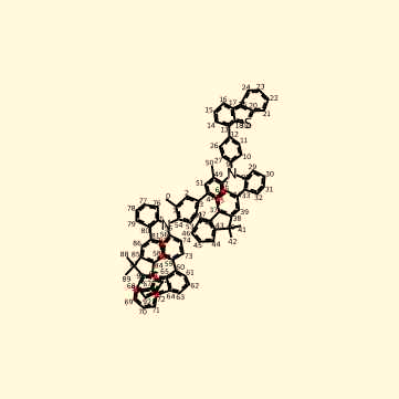 Cc1cc(-c2ccc(N(c3ccc(-c4cccc5c4sc4ccccc45)cc3)c3ccccc3-c3ccc4c(c3)C(C)(C)c3ccccc3-4)c(C)c2)ccc1N(c1ccc(-c2cccc3c2sc2ccccc23)cc1)c1ccccc1-c1ccc2c(c1)C(C)(C)c1ccccc1-2